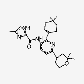 Cc1c[nH]c(C(=O)Nc2ccc(C3CCOC(C)(C)C3)nc2C2=CCC(C)(C)CC2)n1